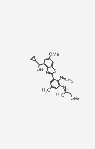 C=Nc1c(/N=C(\C)COC)cc(C)cc1-c1nc2c(C(O)C3CC3)cc(OC)cc2s1